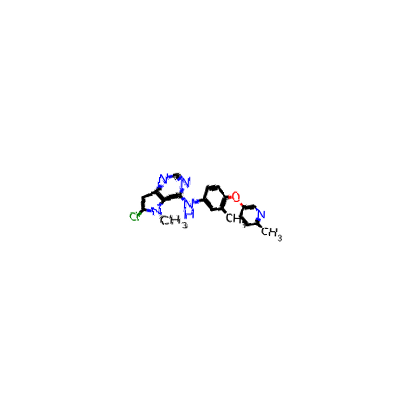 Cc1ccc(Oc2ccc(Nc3ncnc4cc(Cl)n(C)c34)cc2C)cn1